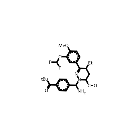 CCC1CC(C=O)N(C(N)c2ccc(C(=O)C(C)(C)C)cc2)N=C1c1ccc(OC)c(OC(F)F)c1